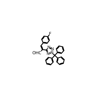 O=CC(=Cc1ccc(F)cc1)c1nnn(C(c2ccccc2)(c2ccccc2)c2ccccc2)n1